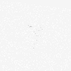 N#Cc1ccncc1N1CCOc2cc(N3CCOCC3)ccc2C1=O